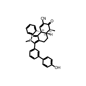 C[C@@H]1C(=O)C(C#N)=C[C@]2(c3ccccc3)c3nn(C)c(-c4cccc(-c5ccc(O)cc5)c4)c3CC[C@@H]12